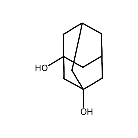 OC12CC3CC(C1)CC(O)(C3)C2